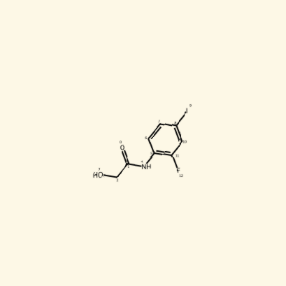 O=C(CO)Nc1ccc(I)cc1F